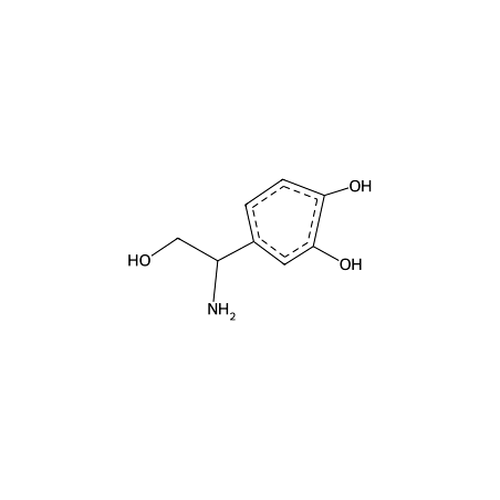 NC(CO)c1ccc(O)c(O)c1